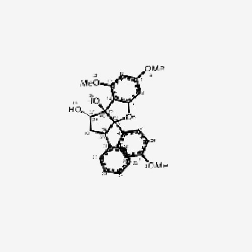 COc1ccc([C@]23Oc4cc(OC)cc(OC)c4[C@@]2(O)[C@@H](O)C[C@@H]3c2ccccc2)cc1